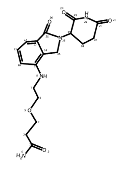 NC(=O)CCOCCNc1cccc2c1CN(C1CCC(=O)NC1=O)C2=O